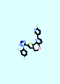 Fc1ccc(-n2ncnc2C2=CC3CCOc4ccc(-c5ccc(F)nc5)nc4C3S2)c(F)c1